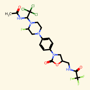 CC(=O)NC(N1CCN(c2ccc(N3CC(CNC(=O)C(F)(F)F)OC3=O)cc2)CC1F)C(Cl)(Cl)Cl